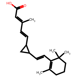 CC1=C(/C=C/C2CC2/C=C/C(C)=C/C(=O)O)C(C)(C)CCC1